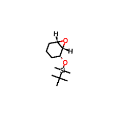 CC(C)(C)[Si](C)(C)O[C@@H]1CCC[C@@H]2O[C@@H]21